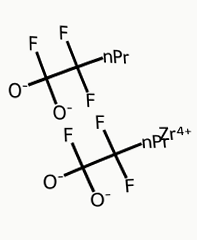 CCCC(F)(F)C([O-])([O-])F.CCCC(F)(F)C([O-])([O-])F.[Zr+4]